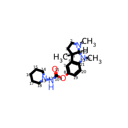 CN1CC[C@@]2(C)c3cc(OC(=O)NN4CCCCC4)ccc3N(C)[C@H]12